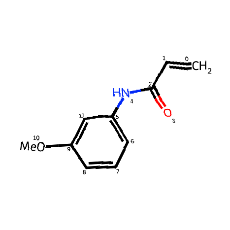 C=CC(=O)Nc1cccc(OC)c1